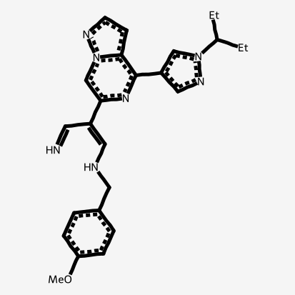 CCC(CC)n1cc(-c2nc(/C(C=N)=C/NCc3ccc(OC)cc3)cn3nccc23)cn1